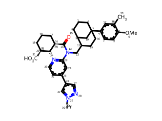 COc1ccc(C23CCCC(C2)C(CN(C(=O)[C@@H]2CCC[C@H](C(=O)O)C2)c2cc(-c4cnn(C(C)C)c4)ccn2)CC3)cc1C